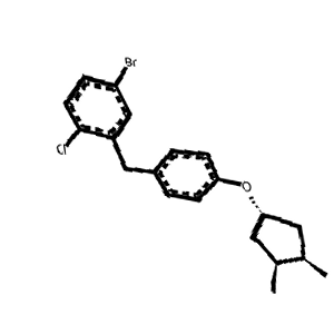 C[C@@H]1C[C@@H](Oc2ccc(Cc3cc(Br)ccc3Cl)cc2)C[C@@H]1C